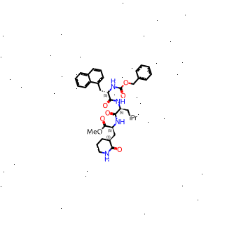 COC(=O)[C@H](C[C@@H]1CCCNC1=O)NC(=O)[C@H](CC(C)C)NC(=O)[C@H](Cc1cccc2ccccc12)NC(=O)OCc1ccccc1